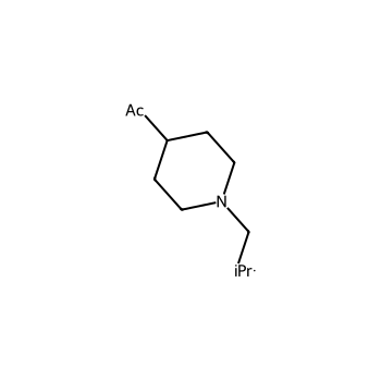 C[C](C)CN1CCC(C(C)=O)CC1